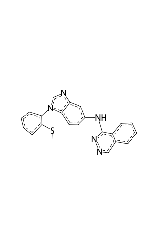 CSc1ccccc1-n1cnc2cc(Nc3nncc4ccccc34)ccc21